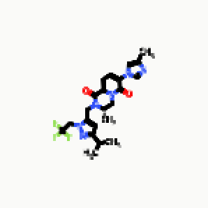 Cc1cn(-c2ccc3n(c2=O)C[C@@H](C)N(Cc2cc(C(C)C)nn2CC(F)(F)F)C3=O)cn1